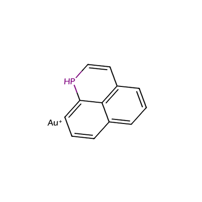 C1=Cc2cccc3cccc(c23)P1.[Au+]